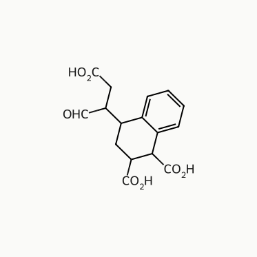 O=CC(CC(=O)O)C1CC(C(=O)O)C(C(=O)O)c2ccccc21